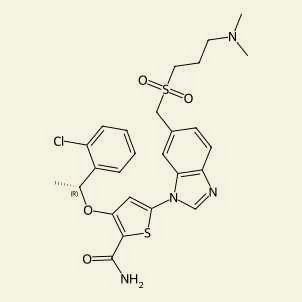 C[C@@H](Oc1cc(-n2cnc3ccc(CS(=O)(=O)CCCN(C)C)cc32)sc1C(N)=O)c1ccccc1Cl